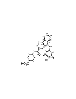 O=C(C[C@H]1CC[C@@H](C(=O)O)CC1)N1CCc2c(n(Cc3cc(F)c(F)c(F)c3)c3ncccc23)C1